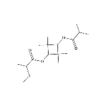 CSC(C)C(=O)OC1C(C)(C)C(OC(=O)C(C)C)C1(C)C